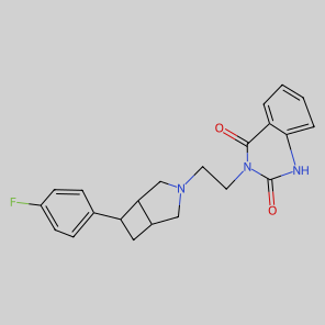 O=c1[nH]c2ccccc2c(=O)n1CCN1CC2CC(c3ccc(F)cc3)C2C1